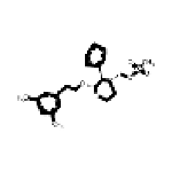 CS(=O)(=O)OC[C@@H]1CCO[C@H](OCCc2cc(C(F)(F)F)cc(C(F)(F)F)c2)[C@H]1c1ccccc1